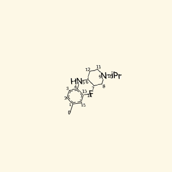 Cc1ccc(NC2CCN(C(C)C)CC2)c(F)c1